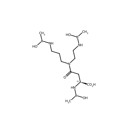 CB(O)NCCCN(CCNB(C)O)C(=O)C[C@H](NB(C)O)C(=O)O